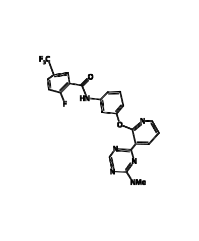 CNc1ncnc(-c2cccnc2Oc2cccc(NC(=O)c3cc(C(F)(F)F)ccc3F)c2)n1